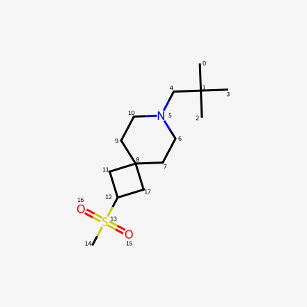 CC(C)(C)CN1CCC2(CC1)CC(S(C)(=O)=O)C2